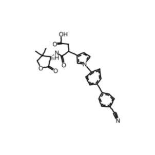 CC1(C)COC(=O)[C@H]1NC(=O)C(CC(=O)O)c1ccn(-c2ccc(-c3ccc(C#N)cc3)cc2)c1